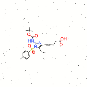 CCc1c(C#CCCC(=O)O)nc(NC(=O)OC(C)(C)C)n1S(=O)(=O)c1ccc(C)cc1